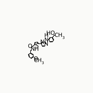 COc1cccc(CNC(=O)c2ccc(-c3ccnc(Nc4cccc(C(C)O)c4)n3)s2)c1